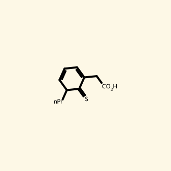 CCCC1C=CC=C(CC(=O)O)C1=S